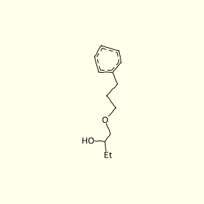 CCC(O)COCCCc1ccccc1